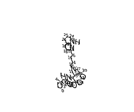 COC(C)(C)CC(=O)NC(CCN(CCCCc1ccc2c(n1)NCCC2)CC(C)(C)OC)C(=O)O